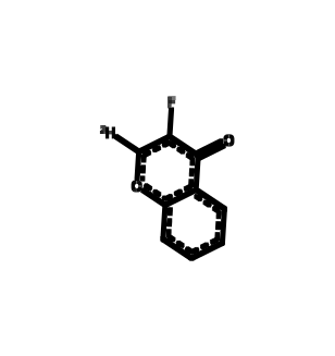 [2H]c1oc2ccccc2c(=O)c1F